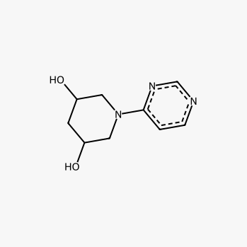 OC1CC(O)CN(c2ccncn2)C1